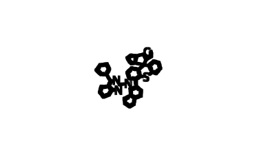 c1ccc(-c2nc(-n3c4ccc5c(c4c4ccc6ccccc6c43)Sc3ccccc3C53c4ccccc4-c4ccccc43)nc3ccccc23)cc1